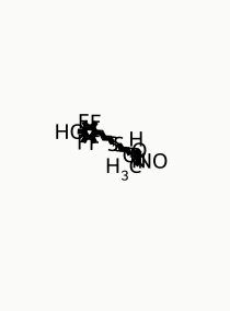 CN(N=O)[PH](=O)OCCSSCCCc1c(F)c(F)c(O)c(F)c1F